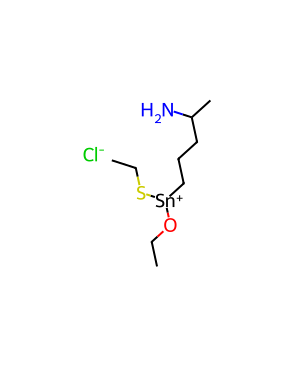 CC[O][Sn+]([CH2]CCC(C)N)[S]CC.[Cl-]